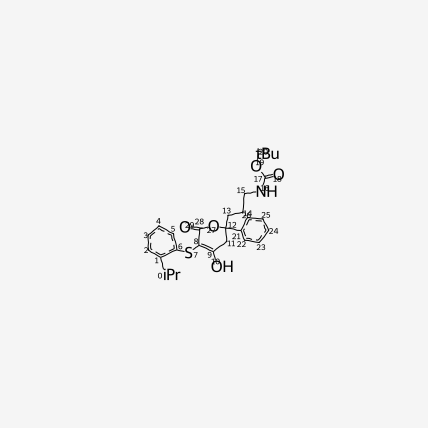 CC(C)c1ccccc1SC1=C(O)CC(CCCNC(=O)OC(C)(C)C)(c2ccccc2)OC1=O